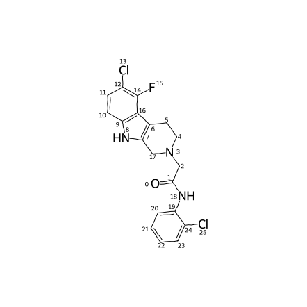 O=C(CN1CCc2c([nH]c3ccc(Cl)c(F)c23)C1)Nc1ccccc1Cl